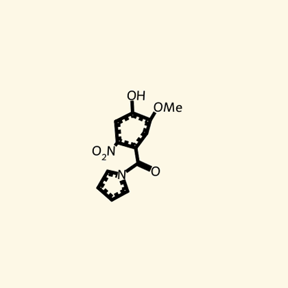 COc1cc(C(=O)n2cccc2)c([N+](=O)[O-])cc1O